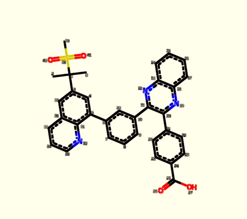 CC(C)(c1cc(-c2cccc(-c3nc4ccccc4nc3-c3ccc(C(=O)O)cc3)c2)c2ncccc2c1)S(C)(=O)=O